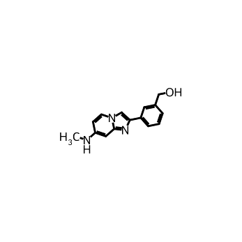 CNc1ccn2cc(-c3cccc(CO)c3)nc2c1